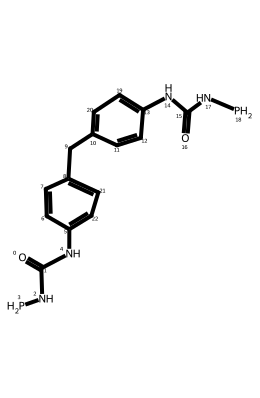 O=C(NP)Nc1ccc(Cc2ccc(NC(=O)NP)cc2)cc1